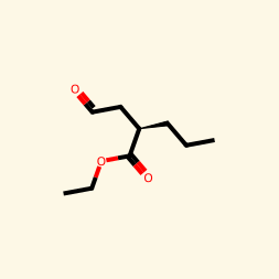 CCC[C@H](CC=O)C(=O)OCC